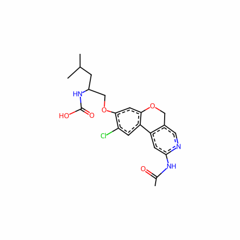 CC(=O)Nc1cc2c(cn1)COc1cc(OCC(CC(C)C)NC(=O)O)c(Cl)cc1-2